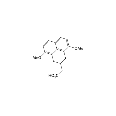 COc1ccc2ccc(OC)c3c2c1CC(CC(=O)O)C3